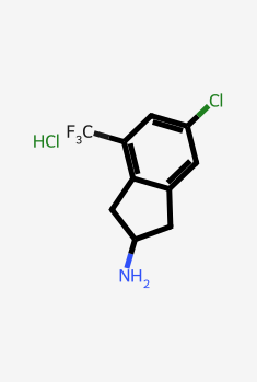 Cl.NC1Cc2cc(Cl)cc(C(F)(F)F)c2C1